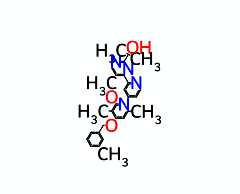 Cc1cccc(COc2cc(C)n(-c3ccnc(-c4nc(C(C)(C)O)ncc4C)c3)c(=O)c2C)c1